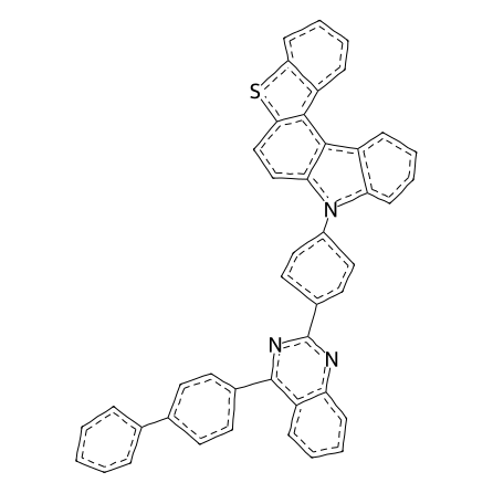 c1ccc(-c2ccc(-c3nc(-c4ccc(-n5c6ccccc6c6c7c(ccc65)sc5ccccc57)cc4)nc4ccccc34)cc2)cc1